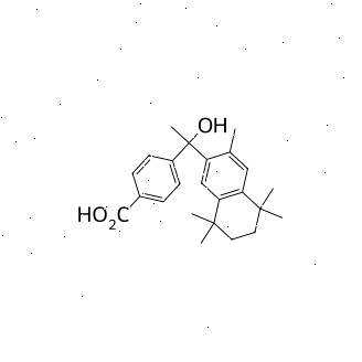 Cc1cc2c(cc1C(C)(O)c1ccc(C(=O)O)cc1)C(C)(C)CCC2(C)C